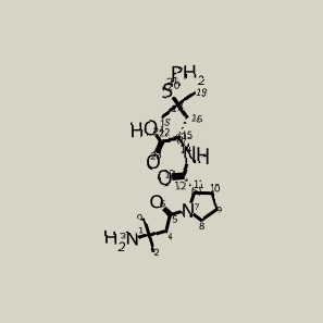 CC(C)(N)CC(=O)N1CCC[C@H]1C(=O)N[C@@H](CC(C)(C)SP)C(=O)O